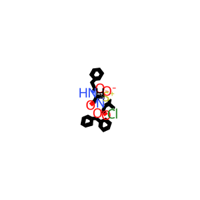 O=C(Cc1ccccc1)NC1C(=O)N2C(C(=O)OC(c3ccccc3)c3ccccc3)=C(CCl)C[S+]([O-])[C@H]12